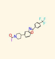 O=C(I)N1CCC(c2ccc3oc(-c4ccc(C(F)(F)F)cc4)nc3c2)CC1